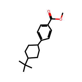 COC(=O)c1ccc(C2CCC(C(C)(C)C)CC2)cc1